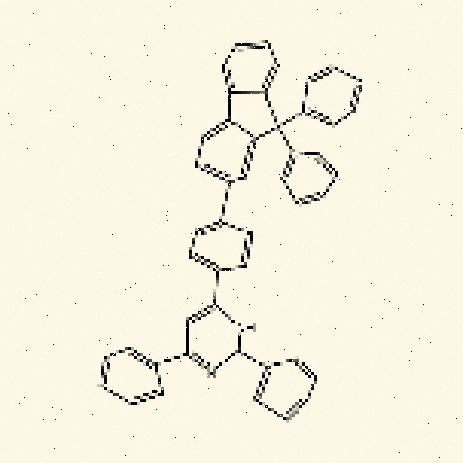 C1=C(c2ccc(-c3ccc4c(c3)C(c3ccccc3)(c3ccccc3)c3ccccc3-4)cc2)NC(c2ccccc2)N=C1c1ccccc1